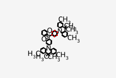 Cc1ccc2c(c1)C(C)(C)c1cc(C)ccc1N2c1ccc2c(c1)Oc1cccc3c1[Si]2(c1ccccc1)c1ccc(N2c4ccc(C)cc4C(C)(C)c4cc(C)ccc42)cc1O3